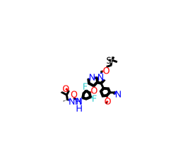 COc1ccc(-c2cn(COCC[Si](C)(C)C)c3nccc(Oc4c(F)cc(NC(=O)N[C@H](C)C5COC5)cc4F)c23)cc1C#N